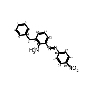 Nc1c(Cc2ccccc2)cccc1N=Nc1ccc([N+](=O)[O-])cc1